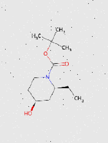 CC[C@H]1C[C@@H](O)CCN1C(=O)OC(C)(C)C